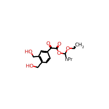 C=COC(CCC)OC(=O)C(=O)c1ccc(CO)c(CO)c1